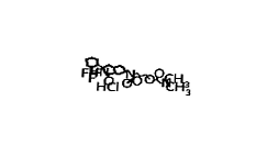 CN(C)CC(=O)OCC1CN(c2ccc3cc(-c4ccccc4C(F)(F)F)[nH]c(=O)c3c2)C(=O)O1.Cl